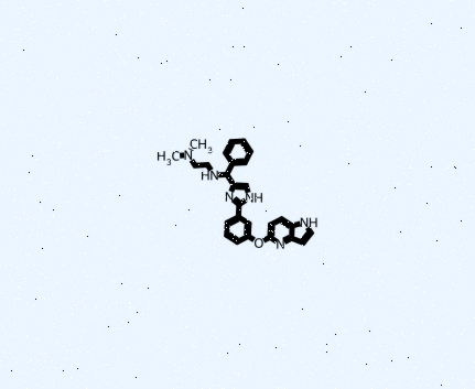 CN(C)CCNC(c1ccccc1)c1c[nH]c(-c2cccc(Oc3ccc4[nH]ccc4n3)c2)n1